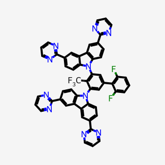 Fc1cccc(F)c1-c1cc(-n2c3ccc(-c4ncccn4)cc3c3cc(-c4ncccn4)ccc32)c(C(F)(F)F)c(-n2c3ccc(-c4ncccn4)cc3c3cc(-c4ncccn4)ccc32)c1